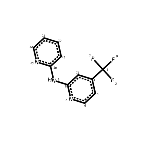 FC(F)(F)c1ccnc(Nc2ccccn2)c1